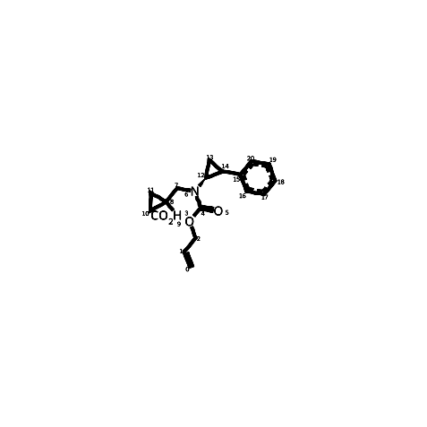 C=CCOC(=O)N(CC1(C(=O)O)CC1)[C@H]1CC1c1ccccc1